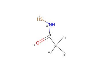 CC(C)(C)C(=O)NS